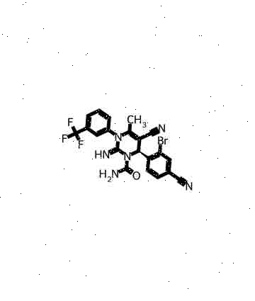 CC1=C(C#N)[C@@H](c2ccc(C#N)cc2Br)N(C(N)=O)C(=N)N1c1cccc(C(F)(F)F)c1